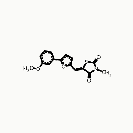 COc1cccc(-c2ccc(/C=C3\SC(=O)N(C)C3=O)o2)c1